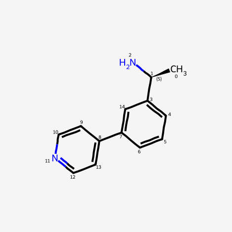 C[C@H](N)c1cccc(-c2ccncc2)c1